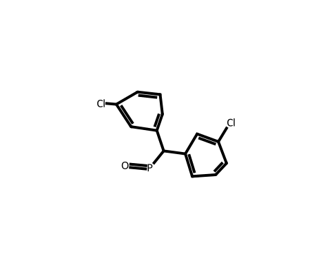 O=PC(c1cccc(Cl)c1)c1cccc(Cl)c1